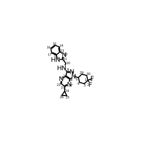 FC1(F)CCC(n2nc(NCc3nc4ccccc4[nH]3)c3ncc(C4CC4)nc32)CC1